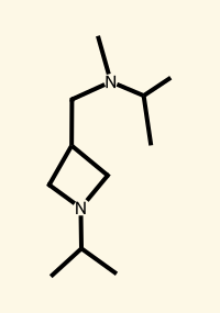 CC(C)N(C)CC1CN(C(C)C)C1